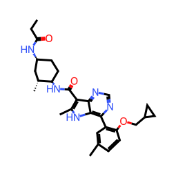 CCC(=O)N[C@H]1CC[C@@H](NC(=O)c2c(C)[nH]c3c(-c4cc(C)ccc4OCC4CC4)ncnc23)[C@H](C)C1